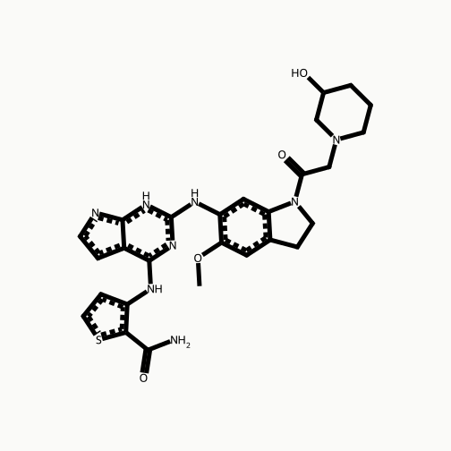 COc1cc2c(cc1Nc1nc(Nc3ccsc3C(N)=O)c3ccnc-3[nH]1)N(C(=O)CN1CCCC(O)C1)CC2